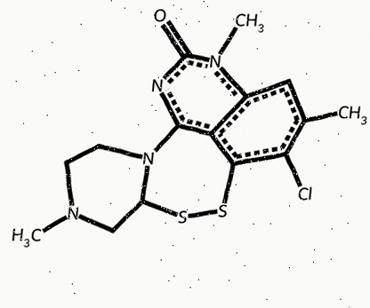 Cc1cc2c3c(nc(=O)n2C)N2CCN(C)CC2SSc3c1Cl